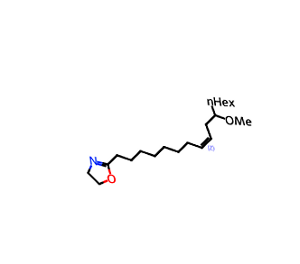 CCCCCCC(C/C=C\CCCCCCCC1=NCCO1)OC